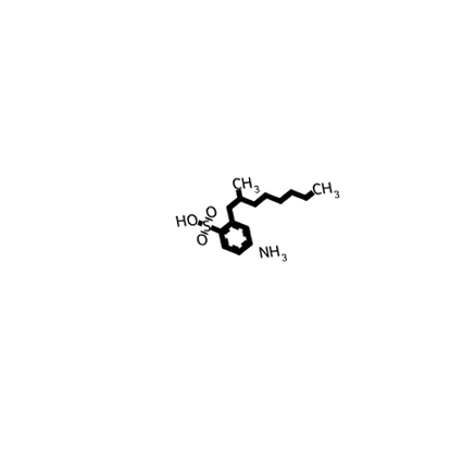 CCCCCCC(C)Cc1ccccc1S(=O)(=O)O.N